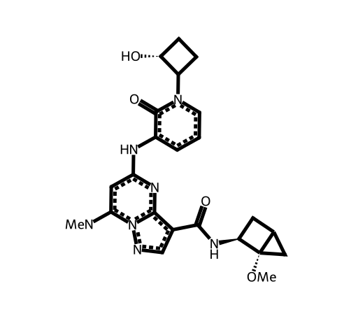 CNc1cc(Nc2cccn(C3CC[C@H]3O)c2=O)nc2c(C(=O)N[C@H]3CC4C[C@]43OC)cnn12